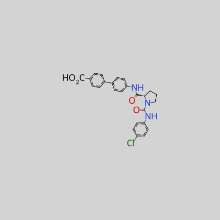 O=C(O)c1ccc(-c2ccc(NC(=O)[C@H]3CCCN3C(=O)Nc3ccc(Cl)cc3)cc2)cc1